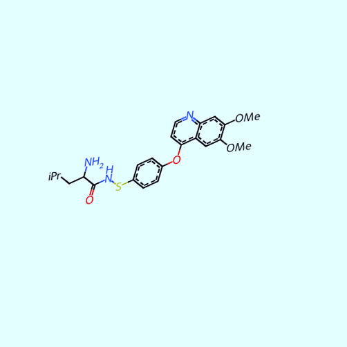 COc1cc2nccc(Oc3ccc(SNC(=O)C(N)CC(C)C)cc3)c2cc1OC